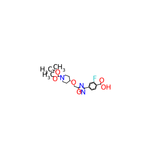 CC(C)(C)OC(=O)N1CCC(OCc2nc(-c3ccc(C(=O)O)c(F)c3)no2)CC1